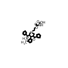 Cc1cccc(C2C(C(=O)c3ccccc3)CN(CCCOC(=O)NC(=O)O)CC2C(=O)c2ccccc2)c1C